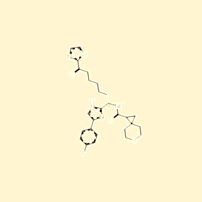 O=C(CCCCC[C@H](NC(=O)C1CC12CCOCC2)c1nc(-c2ccc(F)cc2)c[nH]1)c1ncco1